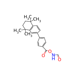 CC1(C)CCC(C)(C)c2cc(-c3ccc(C(=O)ONC=O)cc3)ccc21